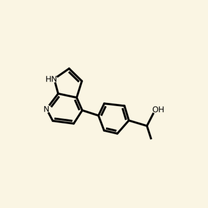 CC(O)c1ccc(-c2ccnc3[nH]ccc23)cc1